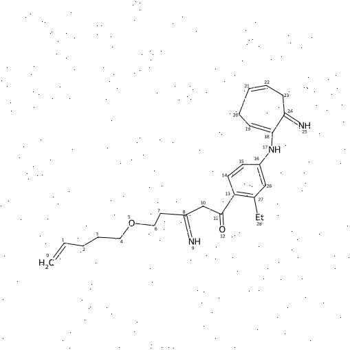 C=CCCCOCCC(=N)CC(=O)c1ccc(NC2=CCC=CCC2=N)cc1CC